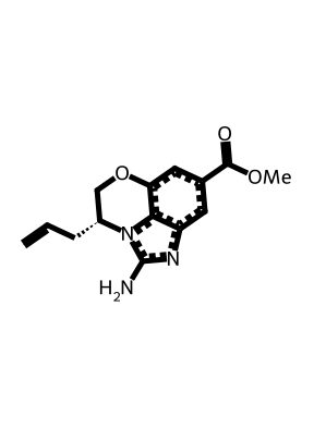 C=CC[C@@H]1COc2cc(C(=O)OC)cc3nc(N)n1c23